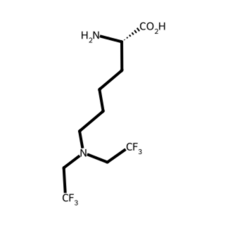 N[C@@H](CCCCN(CC(F)(F)F)CC(F)(F)F)C(=O)O